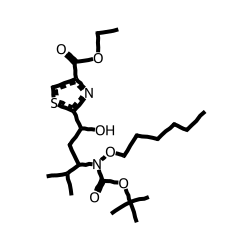 CCCCCCON(C(=O)OC(C)(C)C)C(CC(O)c1nc(C(=O)OCC)cs1)C(C)C